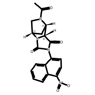 CC(=O)N1C[C@@H]2C[C@H]1[C@@H]1C(=O)N(c3ccc([N+](=O)[O-])c4ccccc34)C(=O)N21